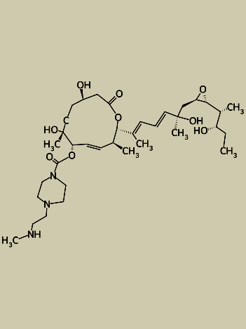 CC[C@H](O)[C@@H](C)[C@H]1O[C@@H]1C[C@@](C)(O)/C=C/C=C(\C)[C@H]1OC(=O)C[C@H](O)CC[C@@](C)(O)[C@@H](OC(=O)N2CCN(CCNC)CC2)/C=C/[C@@H]1C